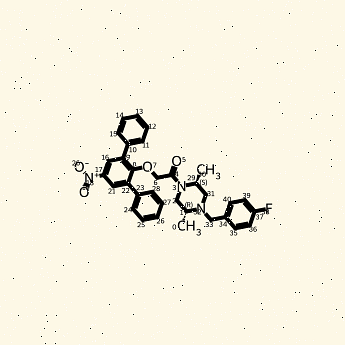 C[C@@H]1CN(C(=O)COc2c(-c3ccccc3)cc([N+](=O)[O-])cc2-c2ccccc2)[C@@H](C)CN1Cc1ccc(F)cc1